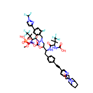 COC(=O)NC(C(=O)NN(Cc1c(F)cc(-c2ccn(C(F)F)n2)cc1F)CC(OC(=O)OCOP(=O)(O)O)C(Cc1ccc(C#Cc2ccc(N3CC4CCC(C3)N4C3COC3)nc2)cc1)NC(=O)C(NC(=O)O)C(C)(C)C(F)(F)F)C(C)(C)C(F)(F)F